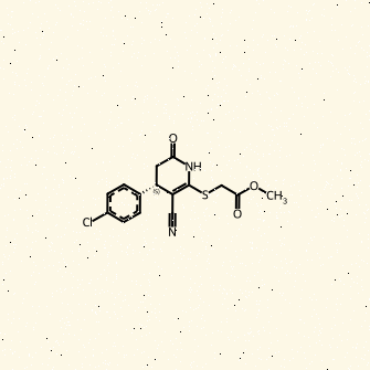 COC(=O)CSC1=C(C#N)[C@H](c2ccc(Cl)cc2)CC(=O)N1